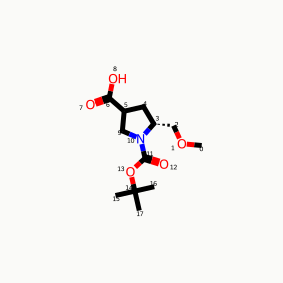 COC[C@H]1CC(C(=O)O)CN1C(=O)OC(C)(C)C